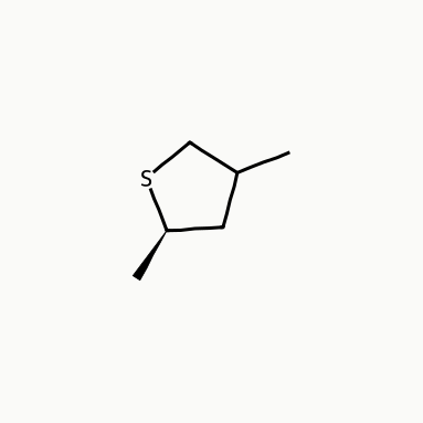 CC1CS[C@H](C)C1